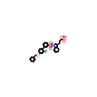 O=C(O)CCc1cn(S(=O)(=O)c2cccc(-c3ccc(OCc4ccccc4)cc3F)c2)c2ccccc12